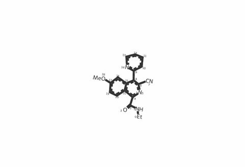 CCNC(=O)c1nc(C#N)c(-c2ccccn2)c2cc(OC)ccc12